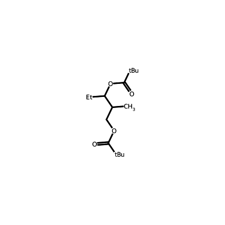 CCC(OC(=O)C(C)(C)C)C(C)COC(=O)C(C)(C)C